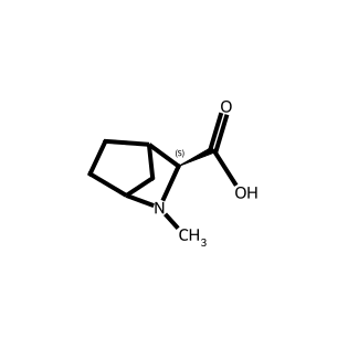 CN1C2CCC(C2)[C@H]1C(=O)O